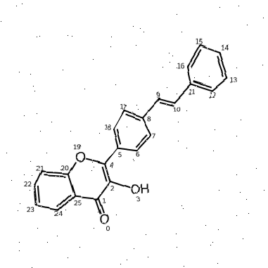 O=c1c(O)c(-c2ccc(C=Cc3ccccc3)cc2)oc2ccccc12